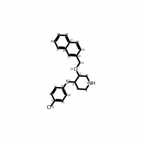 Clc1ccc(SC2CCNCC2OCc2ccc3ccccc3c2)cc1